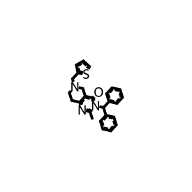 Cc1nc2c(c(=O)n1C(c1ccccc1)c1ccccc1)CN(Cc1cccs1)CC2